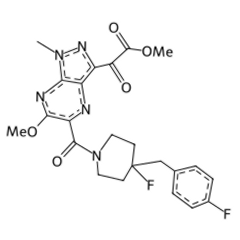 COC(=O)C(=O)c1nn(C)c2nc(OC)c(C(=O)N3CCC(F)(Cc4ccc(F)cc4)CC3)nc12